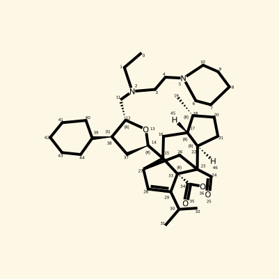 CCN(CCN1CCCCC1)C[C@@H]1O[C@@H](C23C[C@@H]4[C@H](C)CC[C@H]4C4(C=O)CC2C=C(C(C)C)[C@]43C(=O)O)C[C@H]1C1CCCCC1